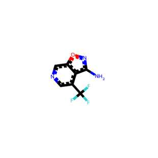 Nc1noc2cncc(C(F)(F)F)c12